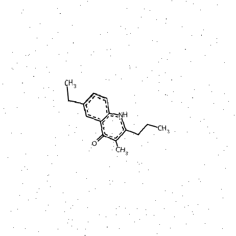 CCCc1[nH]c2ccc(CC)cc2c(=O)c1C